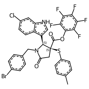 Cc1ccc(S[C@@]2(C(=O)Oc3c(F)c(F)c(F)c(F)c3F)CC(=O)N(Cc3ccc(Br)cc3)[C@H]2c2c[nH]c3cc(Cl)ccc23)cc1